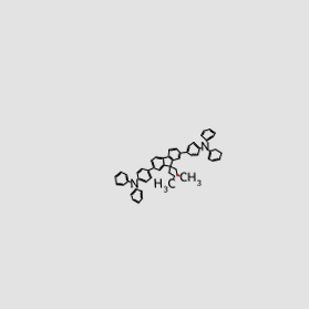 CCCC1(CCC)c2cc(-c3ccc(N(C4=CC=CCC4)c4ccccc4)cc3)ccc2-c2ccc(-c3ccc(N(c4ccccc4)c4ccccc4)cc3)cc21